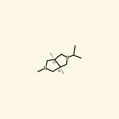 CC(C)N1C[C@]2(C)CN(C)C[C@]2(C)C1